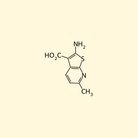 Cc1ccc2c(C(=O)O)c(N)sc2n1